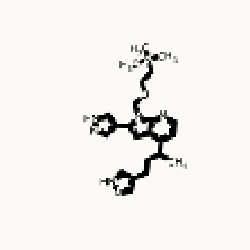 CC(CCc1cn[nH]c1)c1ccnc2c1cc(-c1cn[nH]c1)n2COCC[Si](C)(C)C